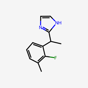 Cc1cccc(C(C)c2ncc[nH]2)c1F